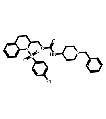 O=C(NC1CCN(Cc2ccccc2)CC1)OCC1CCc2ccccc2N1S(=O)(=O)c1ccc(Cl)cc1